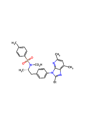 CCc1nc2c(C)cc(C)nc2n1-c1ccc(C[C@H](C)N(C(=O)O)S(=O)(=O)c2ccc(C)cc2)cc1